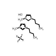 CCCCN1C=CN(C)C1.CCCC[n+]1ccn(C)c1.Cl.F[B-](F)(F)F